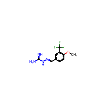 COc1ccc(C=NNC(=N)N)cc1C(F)(F)F